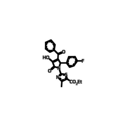 CCOC(=O)c1sc(N2C(=O)C(O)=C(C(=O)c3ccccc3)C2c2ccc(F)cc2)nc1C